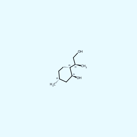 C[C@@H]1CC[C@H]([C@H](C)CO)[C@@H](O)C1